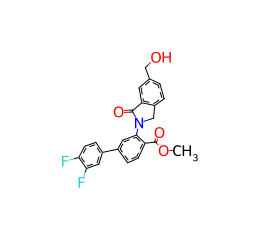 COC(=O)c1ccc(-c2ccc(F)c(F)c2)cc1N1Cc2ccc(CO)cc2C1=O